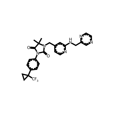 CC1(C)C(=O)N(c2ccc(C3(C(F)(F)F)CC3)cc2)C(=O)N1Cc1ccnc(NCc2cnccn2)c1